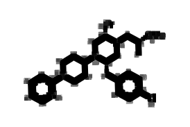 CO[C@H](C)CN1C[C@H](Cc2ccc(Cl)cc2)N(C2CCN(c3ccccn3)CC2)C[C@@H]1C(C)C